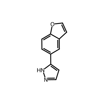 c1cc(-c2ccc3occc3c2)[nH]n1